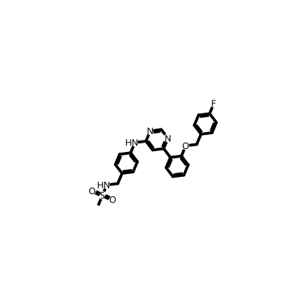 CS(=O)(=O)NCc1ccc(Nc2cc(-c3ccccc3OCc3ccc(F)cc3)ncn2)cc1